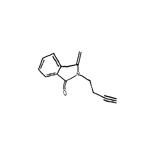 C#CCCN1C(=C)c2ccccc2C1=O